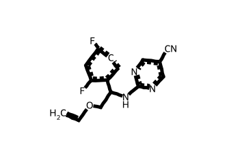 C=COCC(Nc1ncc(C#N)cn1)c1ccc(F)cc1F